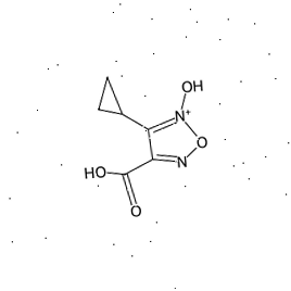 O=C(O)c1no[n+](O)c1C1CC1